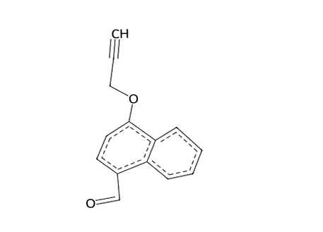 C#CCOc1ccc(C=O)c2ccccc12